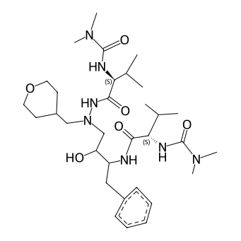 CC(C)[C@H](NC(=O)N(C)C)C(=O)NC(Cc1ccccc1)C(O)CN(CC1CCOCC1)NC(=O)[C@@H](NC(=O)N(C)C)C(C)C